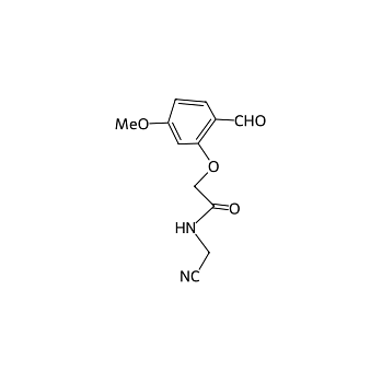 COc1ccc(C=O)c(OCC(=O)NCC#N)c1